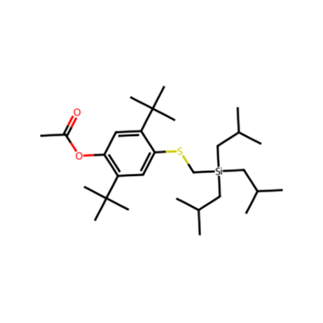 CC(=O)Oc1cc(C(C)(C)C)c(SC[Si](CC(C)C)(CC(C)C)CC(C)C)cc1C(C)(C)C